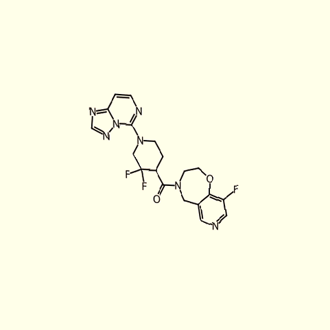 O=C(C1CCN(c2nccc3ncnn23)CC1(F)F)N1CCOc2c(F)cncc2C1